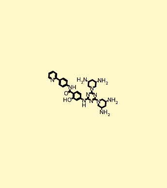 N[C@@H]1C[C@H](N)CN(c2nc(Nc3ccc(C(=O)Nc4ccc(-c5ccccn5)cc4)c(O)c3)nc(N3C[C@H](N)C[C@H](N)C3)n2)C1